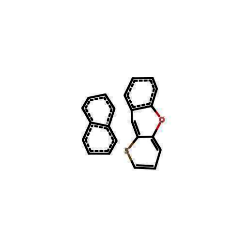 C1=CSC2=Cc3ccccc3OC2=C1.c1ccc2ccccc2c1